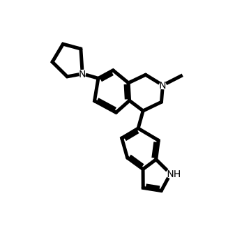 CN1Cc2cc(N3CCCC3)ccc2C(c2ccc3cc[nH]c3c2)C1